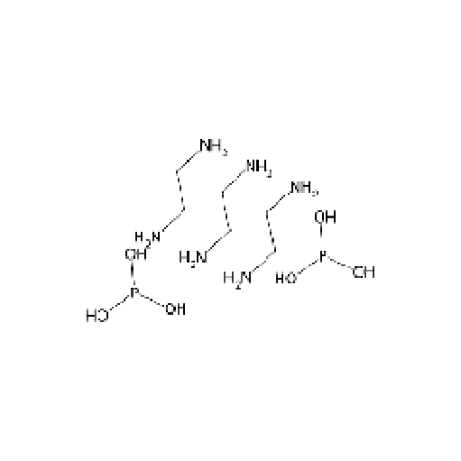 NCCN.NCCN.NCCN.OP(O)O.OP(O)O